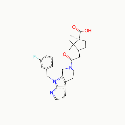 CC1(C)[C@H](CC(=O)N2CCc3c(n(Cc4cccc(F)c4)c4ncccc34)C2)CC[C@]1(C)C(=O)O